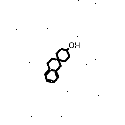 OC1CCC2(CCc3ccccc3C2)CC1